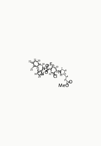 COC(=O)CCC1CCN(c2cc(F)c(S(=O)(=O)N(Cc3ccc(C)c(C)c3)c3nccs3)cc2Cl)C1